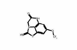 N=c1sc2cc(OC(F)(F)F)cc3c2n1CC(=O)N3